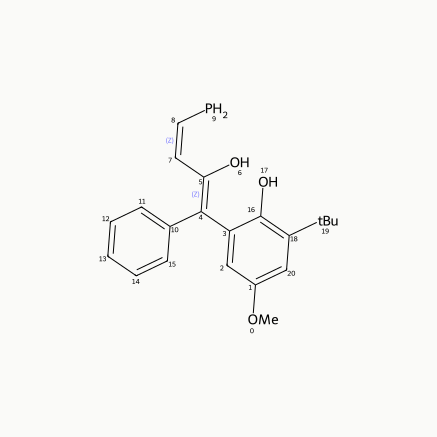 COc1cc(/C(=C(O)/C=C\P)c2ccccc2)c(O)c(C(C)(C)C)c1